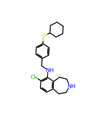 Clc1ccc2c(c1NCc1ccc(SC3CCCCC3)cc1)CCNCC2